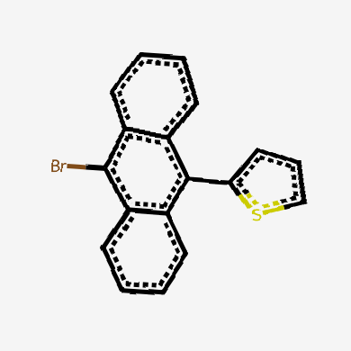 Brc1c2ccccc2c(-c2cccs2)c2ccccc12